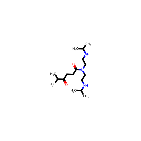 CC(C)NCCN(CCNC(C)C)C(=O)CCC(=O)C(C)C